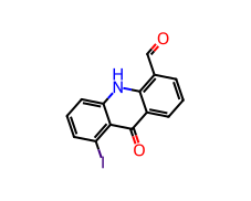 O=Cc1cccc2c(=O)c3c(I)cccc3[nH]c12